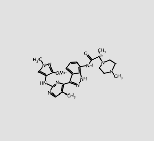 COc1nn(C)cc1Nc1ncc(C)c(-c2n[nH]c3c(NC(=O)[C@H](C)N4CCN(C)CC4)cccc23)n1